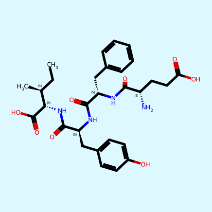 CC[C@H](C)[C@H](NC(=O)[C@H](Cc1ccc(O)cc1)NC(=O)[C@H](Cc1ccccc1)NC(=O)[C@@H](N)CCC(=O)O)C(=O)O